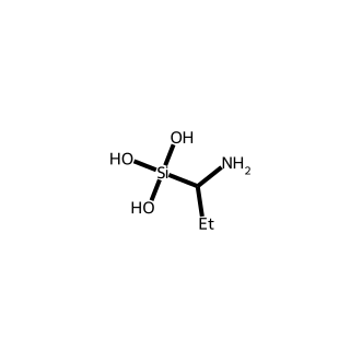 CCC(N)[Si](O)(O)O